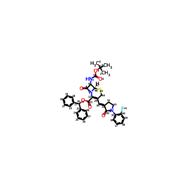 CC(C)(C)OC(=O)N[C@@H]1C(=O)N2C(C(=O)OC(c3ccccc3)c3ccccc3)=C(/C=C3\CCN(c4ccccc4F)C3=O)CS[C@H]12